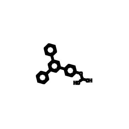 OB(O)Oc1ccc(-c2cc(-c3ccccc3)cc(-c3ccccc3)c2)cc1